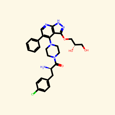 N[C@H](Cc1ccc(Cl)cc1)C(=O)N1CCN(c2c(-c3ccccc3)cnc3[nH]nc(OC[C@@H](O)CO)c23)CC1